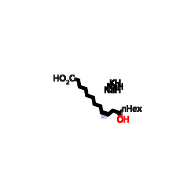 CCCCCC[C@@H](O)C/C=C\CCCCCCCC(=O)O.[KH].[NaH].[NaH]